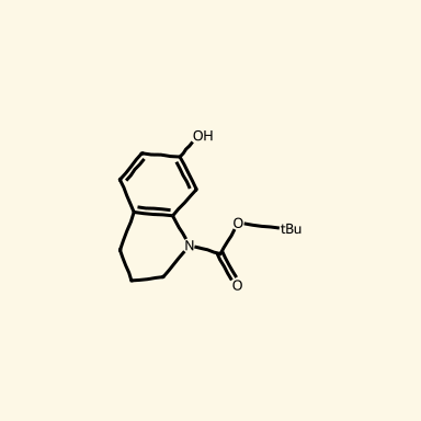 CC(C)(C)OC(=O)N1CCCc2ccc(O)cc21